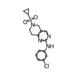 O=S(=O)(C1CC1)N1CCc2nc(Nc3cccc(Cl)c3)ncc2C1